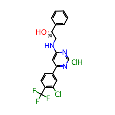 Cl.O[C@@H](CNc1cc(-c2ccc(C(F)(F)F)c(Cl)c2)ncn1)c1ccccc1